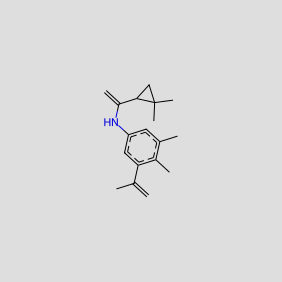 C=C(C)c1cc(NC(=C)C2CC2(C)C)cc(C)c1C